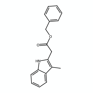 Cc1c(CC(=O)OCc2ccccc2)[nH]c2ccccc12